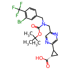 CC(C)(C)OC(=O)N(Cc1ccc(C(F)(F)F)c(Br)c1)Cc1cnc(C2C[C@@H]2C(=O)O)cn1